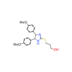 COc1ccc(C2N=C(SCCCO)NC2c2ccc(OC)cc2)cc1